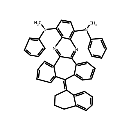 CN(c1ccccc1)c1ccc(N(C)c2ccccc2)c2nc3c(nc12)-c1ccccc1C(=C1CCCc2ccccc21)c1ccccc1-3